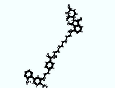 Nc1nnc(-c2ccccc2O)cc1OCCc1ccc(C(=O)NCCOCCOCCNc2cccc3c2C(=O)N(C2CCC(=O)NC2=O)C3=O)cc1